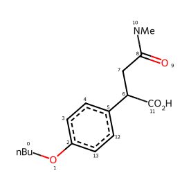 CCCCOc1ccc(C(CC(=O)NC)C(=O)O)cc1